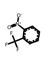 O=[N+]([O-])c1ccc[c]c1C(F)(F)F